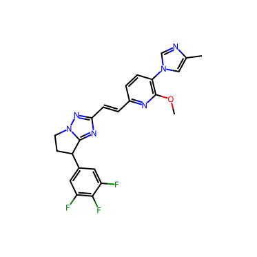 COc1nc(C=Cc2nc3n(n2)CCC3c2cc(F)c(F)c(F)c2)ccc1-n1cnc(C)c1